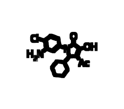 CC(=O)C1=C(O)C(=O)N(c2ccc(Cl)c(N)c2)C1C1CCCCC1